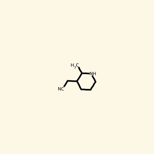 CC1NCCCC1CC#N